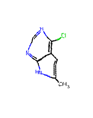 Cc1cc2c(Cl)ncnc2[nH]1